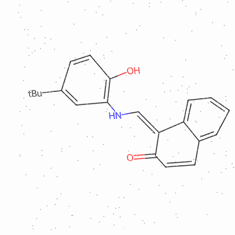 CC(C)(C)c1ccc(O)c(NC=C2C(=O)C=Cc3ccccc32)c1